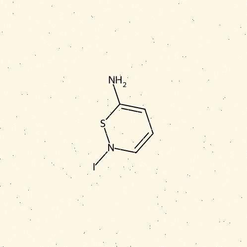 NC1=CC=CN(I)S1